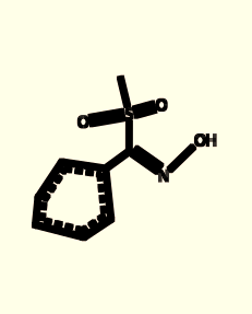 CS(=O)(=O)C(=NO)c1ccccc1